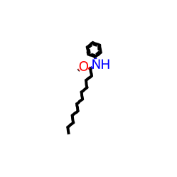 CCCCCCCCCCCC(Nc1ccccc1)OC